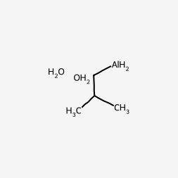 CC(C)[CH2][AlH2].O.O